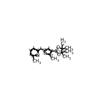 Cc1cccc(Cn2cc(B3OC(C)(C)C(C)(C)O3)c(C)n2)n1